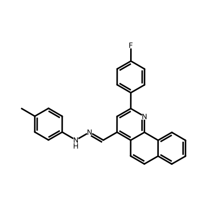 Cc1ccc(NN=Cc2cc(-c3ccc(F)cc3)nc3c2ccc2ccccc23)cc1